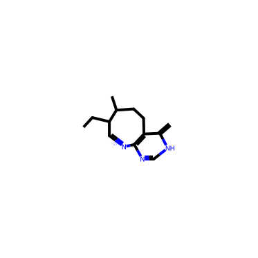 C=C1NC=NC2=C1CCC(C)C(CC)/C=N\2